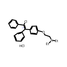 CCN(CC)CCOc1ccc(/C(=C(\Cl)c2ccccc2)c2ccccc2)cc1.Cl